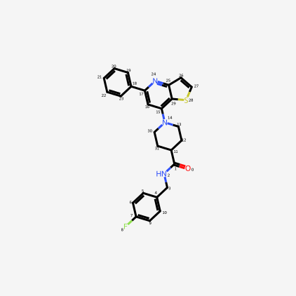 O=C(NCc1ccc(F)cc1)C1CCN(c2cc(-c3ccccc3)nc3ccsc23)CC1